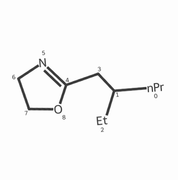 CCCC(CC)CC1=NCCO1